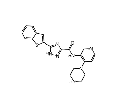 O=C(Nc1cnccc1N1CCNCC1)c1n[nH]c(-c2cc3ccccc3s2)n1